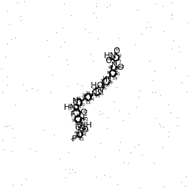 O=C1CCC(N2Cc3cc(N4CCC(O)(CN5CCN(c6ccc(-c7cnc8[nH]cc(C(=O)c9c(F)ccc(NS(=O)(=O)N%10CC[C@@H](F)C%10)c9F)c8c7)cc6)CC5)CC4)ccc3C2=O)C(=O)N1